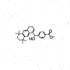 COC(=O)c1ccc(C(O)C2=CCCc3cc4c(cc32)C(C)(C)CCC4(C)C)cc1